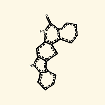 O=c1[nH]c2cc3[nH]c4ccccc4c3cc2c2ccccc12